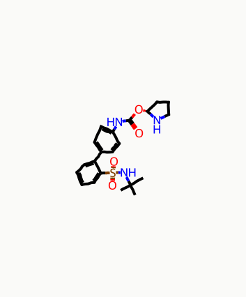 CC(C)(C)NS(=O)(=O)c1ccccc1-c1ccc(NC(=O)O[C@H]2CCCN2)cc1